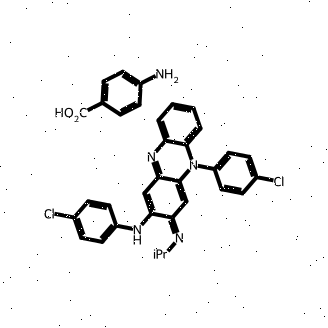 CC(C)N=c1cc2n(-c3ccc(Cl)cc3)c3ccccc3nc-2cc1Nc1ccc(Cl)cc1.Nc1ccc(C(=O)O)cc1